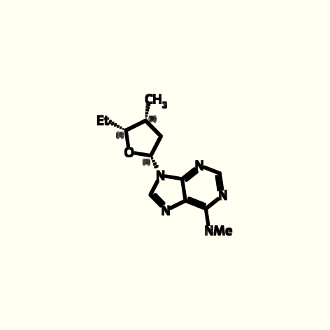 CC[C@H]1O[C@@H](n2cnc3c(NC)ncnc32)C[C@H]1C